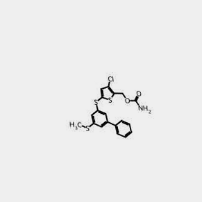 CSc1cc(Sc2cc(Cl)c(COC(N)=O)s2)cc(-c2ccccc2)c1